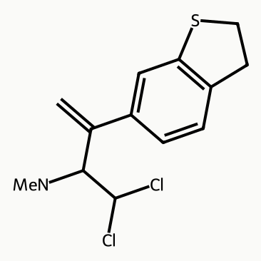 C=C(c1ccc2c(c1)SCC2)C(NC)C(Cl)Cl